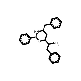 NC(Cc1ccccc1)C1C[C@H](Cc2ccccc2)NB(c2ccccc2)O1